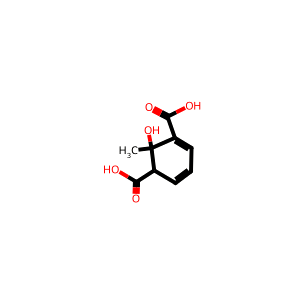 CC1(O)C(C(=O)O)=CC=CC1C(=O)O